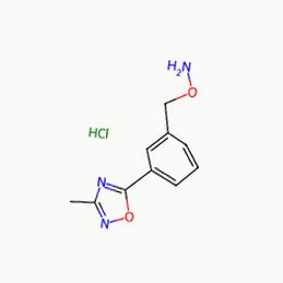 Cc1noc(-c2cccc(CON)c2)n1.Cl